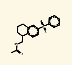 CC(=O)NCC1CCCc2cc(S(=O)(=O)c3ccccc3)ccc21